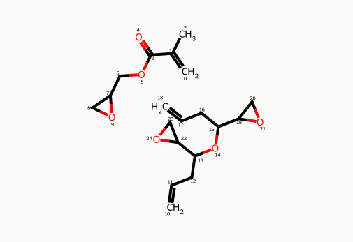 C=C(C)C(=O)OCC1CO1.C=CCC(OC(CC=C)C1CO1)C1CO1